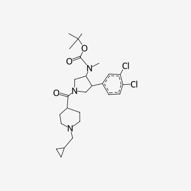 CN(C(=O)OC(C)(C)C)C1CN(C(=O)C2CCN(CC3CC3)CC2)CC1c1ccc(Cl)c(Cl)c1